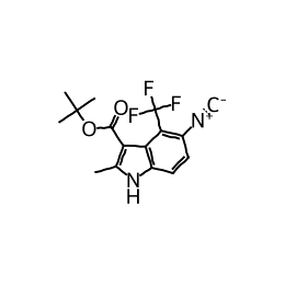 [C-]#[N+]c1ccc2[nH]c(C)c(C(=O)OC(C)(C)C)c2c1C(F)(F)F